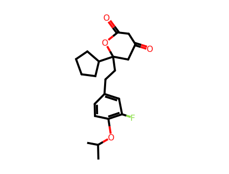 CC(C)Oc1ccc(CCC2(C3CCCC3)CC(=O)CC(=O)O2)cc1F